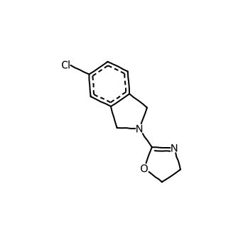 Clc1ccc2c(c1)CN(C1=NCCO1)C2